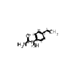 C=Cc1ccc(N(S)C(N)=O)cc1